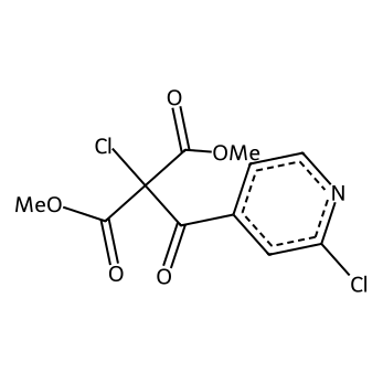 COC(=O)C(Cl)(C(=O)OC)C(=O)c1ccnc(Cl)c1